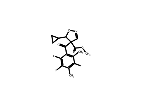 COC(=O)C1(C(=O)c2c(C)c(F)c(C)c(F)c2F)C=NOC1C1CC1